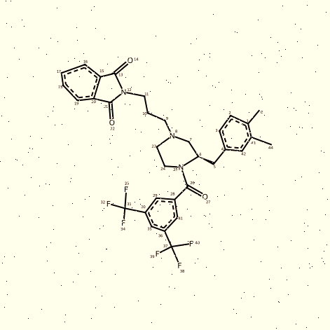 Cc1ccc(C[C@@H]2CN(CCCN3C(=O)c4ccccc4C3=O)CCN2C(=O)c2cc(C(F)(F)F)cc(C(F)(F)F)c2)cc1C